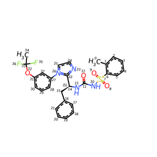 Cc1ccccc1S(=O)(=O)NC(=O)N[C@@H](Cc1ccccc1)c1nccn1-c1cccc(OC(C)(F)F)c1